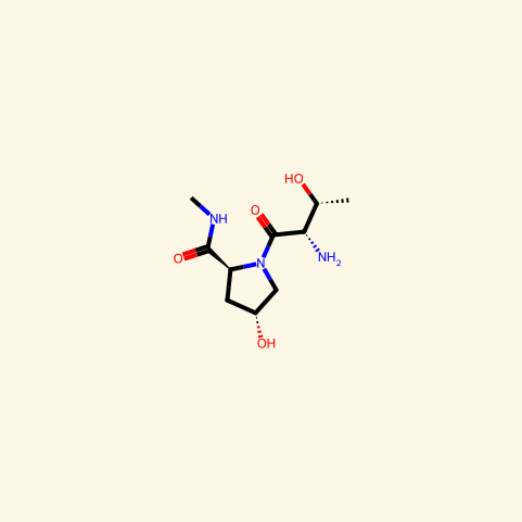 CNC(=O)[C@@H]1C[C@@H](O)CN1C(=O)[C@@H](N)[C@@H](C)O